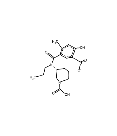 CCCN(C(=O)c1cc([N+](=O)[O-])c(O)cc1C)[C@@H]1CCCN(C(=O)O)C1